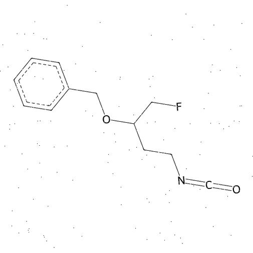 O=C=NCCC(CF)OCc1ccccc1